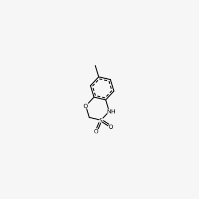 Cc1ccc2c(c1)OCS(=O)(=O)N2